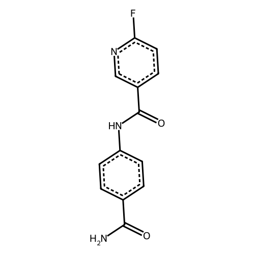 NC(=O)c1ccc(NC(=O)c2ccc(F)nc2)cc1